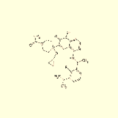 CC(=O)N1CCC(OC2CC2)(c2cc3c(N[C@H](C)c4cccc(C(C)P)c4F)ncnc3n(C)c2=O)CC1